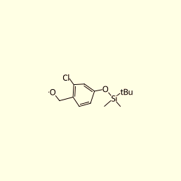 CC(C)(C)[Si](C)(C)Oc1ccc(C[O])c(Cl)c1